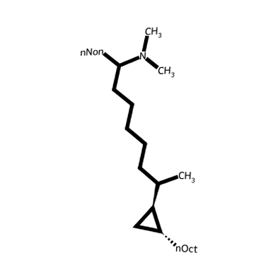 CCCCCCCCCC(CCCCCC(C)[C@@H]1C[C@H]1CCCCCCCC)N(C)C